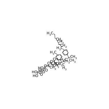 C=CC.C=CC.C=CC.C=CC.CCCC.Cc1ccc(C(C)(C)C)cc1.Cc1ccc(C(C)(C)C)cc1.O=P(O)(O)O.O=P(O)(O)O